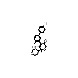 Cc1ccc(-c2ccc(Cl)cc2)cc1C1=C(O)C(C)(C2CCOCC2)OCC1=O